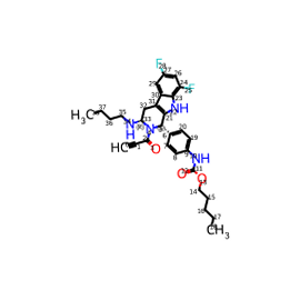 C#CC(=O)N1[C@@H](c2ccc(NC(=O)OCCCCC)cc2)c2[nH]c3c(F)cc(F)cc3c2C[C@@H]1NCCCC